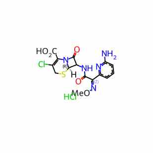 CO/N=C(\C(=O)NC1C(=O)N2C(C(=O)O)=C(Cl)CS[C@H]12)c1cccc(N)n1.Cl